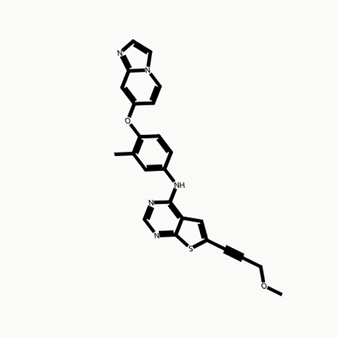 COCC#Cc1cc2c(Nc3ccc(Oc4ccn5ccnc5c4)c(C)c3)ncnc2s1